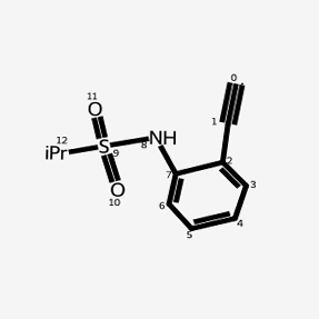 [C]#Cc1ccccc1NS(=O)(=O)C(C)C